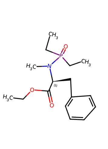 CCOC(=O)[C@H](Cc1ccccc1)N(C)P(=O)(CC)CC